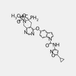 C[C@@]1(P)Cc2c(ncnc2Oc2ccc3c(ccn3C(=O)Nc3cc(C4CC4)on3)c2)CN1S(C)(=O)=O